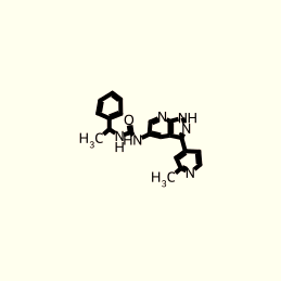 Cc1cc(-c2n[nH]c3ncc(NC(=O)NC(C)c4ccccc4)cc23)ccn1